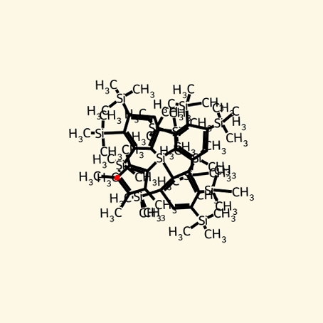 CC1=C(C)C(C)C([Si](c2c([Si](C)(C)C)cc([Si](C)(C)C)c([Si](C)(C)C)c2[Si](C)(C)C)(c2c([Si](C)(C)C)cc([Si](C)(C)C)c([Si](C)(C)C)c2[Si](C)(C)C)c2c([Si](C)(C)C)cc([Si](C)(C)C)c([Si](C)(C)C)c2[Si](C)(C)C)=C1C